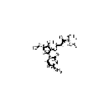 CN(C)C(=O)CCO[C@@H]1[C@H](O)[C@@H](CO)O[C@H]1n1ccc(N)nc1=O